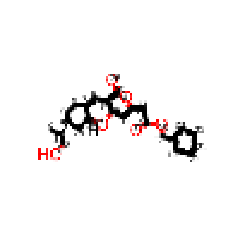 CC(CO)[C@H]1CCC2=Cc3c(cc(CC(=O)OCc4ccccc4)oc3=O)O[C@H]2C1